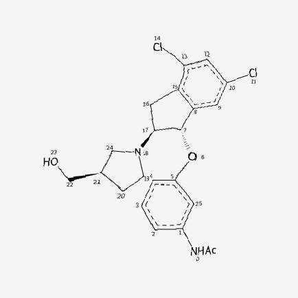 CC(=O)Nc1cccc(O[C@H]2c3cc(Cl)cc(Cl)c3C[C@@H]2N2CC[C@@H](CO)C2)c1